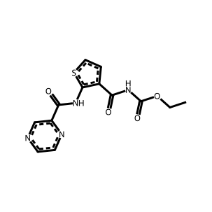 CCOC(=O)NC(=O)c1ccsc1NC(=O)c1cnccn1